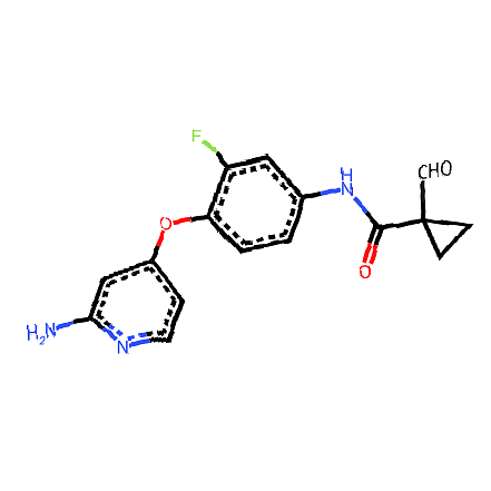 Nc1cc(Oc2ccc(NC(=O)C3(C=O)CC3)cc2F)ccn1